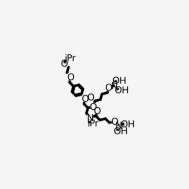 CC(C)OCCOCc1ccc(OCC(CN(C(=O)CCCON(O)O)C(C)C)OC(=O)CCCON(O)O)cc1